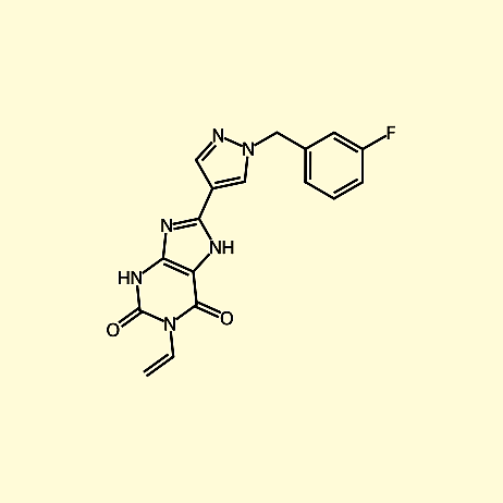 C=Cn1c(=O)[nH]c2nc(-c3cnn(Cc4cccc(F)c4)c3)[nH]c2c1=O